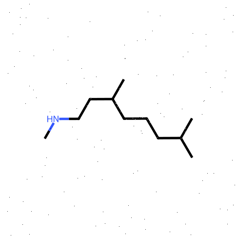 CNCCC(C)CCCC(C)C